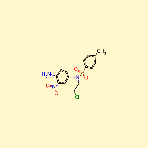 Cc1ccc(S(=O)(=O)N(CCCl)c2ccc(N)c([N+](=O)[O-])c2)cc1